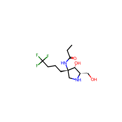 CCC(=O)N[C@@]1(CCCC(F)(F)F)CN[C@@H](CO)[C@H]1O